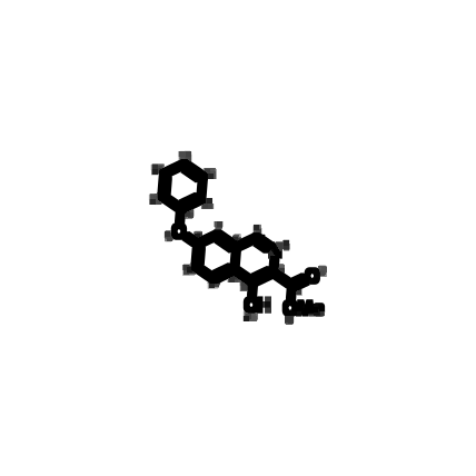 COC(=O)c1n[c]c2cc(Oc3ccccc3)ccc2c1O